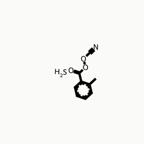 Cc1ccccc1C(=O)OOC#N.S